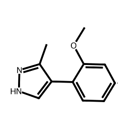 COc1c[c]ccc1-c1c[nH]nc1C